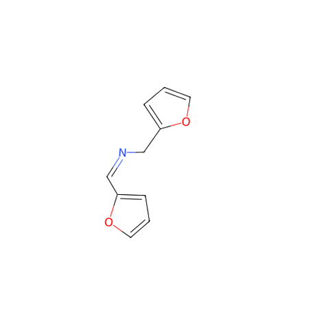 C(=N/Cc1ccco1)/c1ccco1